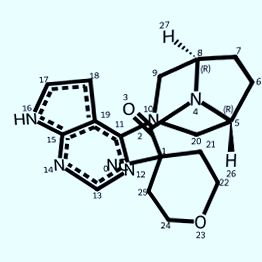 N#CC1(C(=O)N2[C@@H]3CC[C@@H]2CN(c2ncnc4[nH]ccc24)C3)CCOCC1